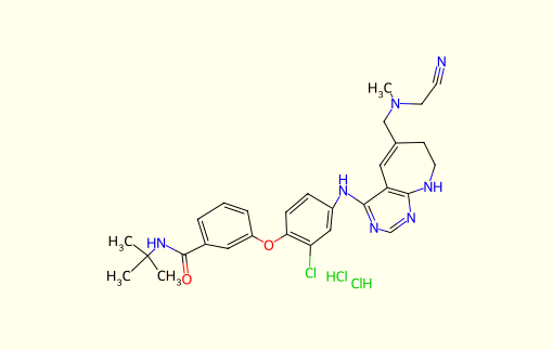 CN(CC#N)CC1=Cc2c(ncnc2Nc2ccc(Oc3cccc(C(=O)NC(C)(C)C)c3)c(Cl)c2)NCC1.Cl.Cl